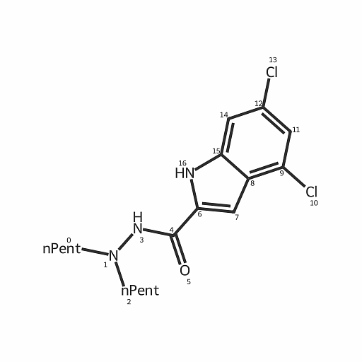 CCCCCN(CCCCC)NC(=O)c1cc2c(Cl)cc(Cl)cc2[nH]1